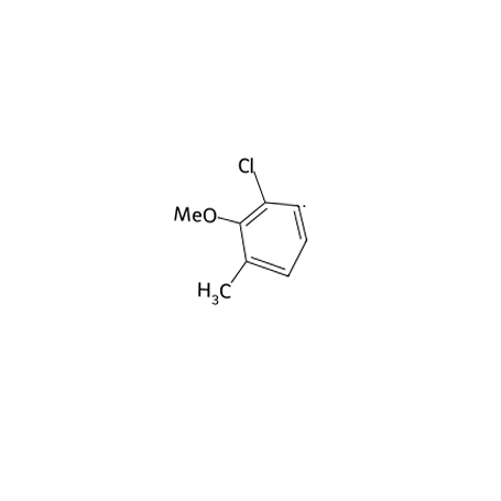 COc1c(Cl)[c]ccc1C